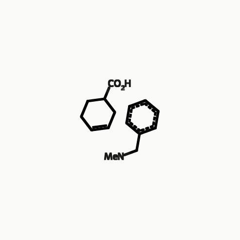 CNCc1ccccc1.O=C(O)C1CC=CCC1